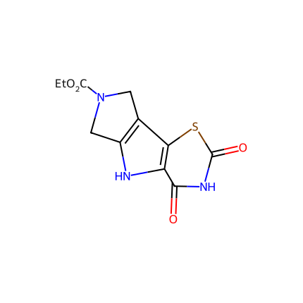 CCOC(=O)N1Cc2[nH]c3c(=O)[nH]c(=O)sc3c2C1